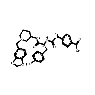 O=C(Nc1ccc(C(=O)O)cc1)N[C@@H](Cc1ccc(O)cc1)C(=O)NC1CCCN(Cc2ccc3c(c2)OCO3)C1